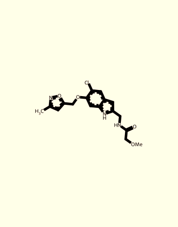 COCC(=O)NCc1cc2cc(Cl)c(OCc3cc(C)no3)cc2[nH]1